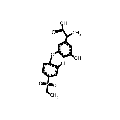 CCS(=O)(=O)c1ccc(Oc2cc(O)cc(C(C)C(=O)O)c2)c(Cl)c1